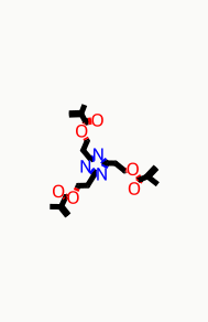 C=C(C)C(=O)OCCc1nc(CCOC(=O)C(=C)C)nc(CCOC(=O)C(=C)C)n1